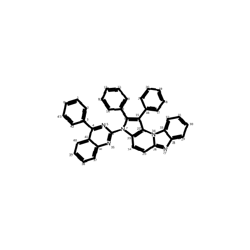 c1ccc(-c2nc(-n3c(-c4ccccc4)c(-c4ccccc4)c4c3ccc3nc5ccccc5n34)nc3ccccc23)cc1